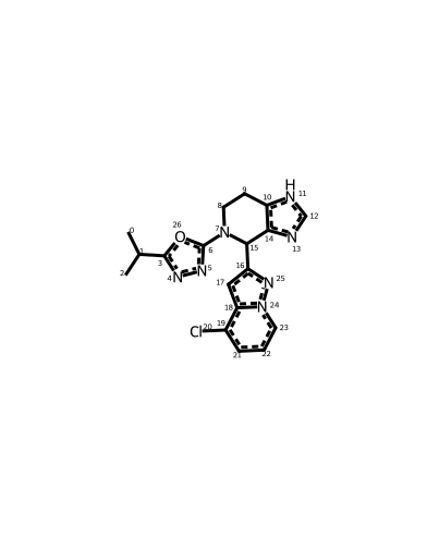 CC(C)c1nnc(N2CCc3[nH]cnc3C2c2cc3c(Cl)cccn3n2)o1